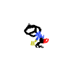 CC(=O)N1CC2CCC(C1)C2NS